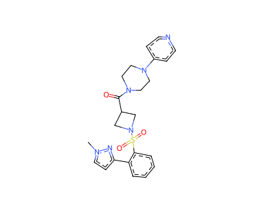 Cn1ccc(-c2ccccc2S(=O)(=O)N2CC(C(=O)N3CCN(c4ccncc4)CC3)C2)n1